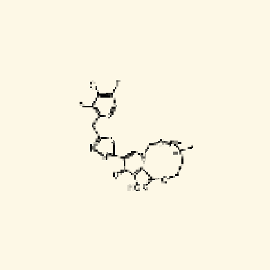 C[C@H]1CCOC(=O)c2c(O)c(=O)c(-c3nnc(Cc4ccc(F)c(Cl)c4F)s3)cn2CSN1